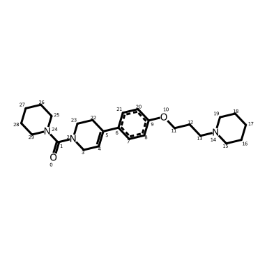 O=C(N1CC=C(c2ccc(OCCCN3CCCCC3)cc2)CC1)N1CCCCC1